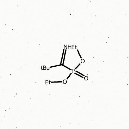 CCOP(=O)(OCC)C(=N)C(C)(C)C